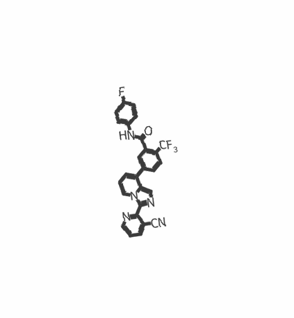 N#Cc1cccnc1-c1ncc2c(-c3ccc(C(F)(F)F)c(C(=O)Nc4ccc(F)cc4)c3)cccn12